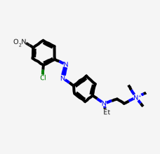 CCN(CC[N+](C)(C)C)c1ccc(N=Nc2ccc([N+](=O)[O-])cc2Cl)cc1